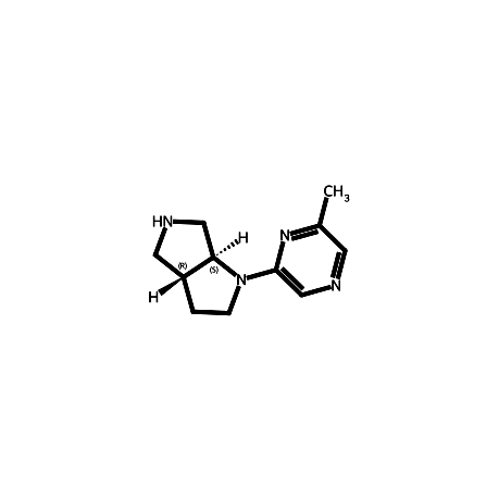 Cc1cncc(N2CC[C@@H]3CNC[C@H]32)n1